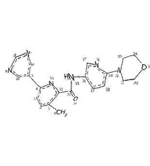 Cc1ccc(-c2cncnc2)nc1C(=O)Nc1ccc(N2CCOCC2)nc1